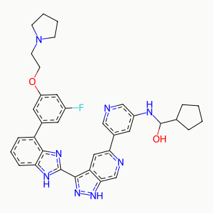 OC(Nc1cncc(-c2cc3c(-c4nc5c(-c6cc(F)cc(OCCN7CCCC7)c6)cccc5[nH]4)n[nH]c3cn2)c1)C1CCCC1